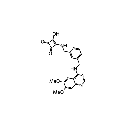 COc1cc2ncnc(NCc3cccc(CNc4c(O)c(=O)c4=O)c3)c2cc1OC